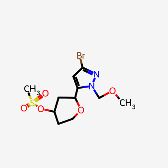 COCn1nc(Br)cc1C1CC(OS(C)(=O)=O)CCO1